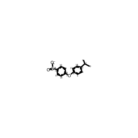 CC(C)c1ccc(Oc2ccc([N+](=O)[O-])cc2)cc1